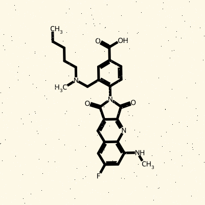 CCCCCN(C)Cc1cc(C(=O)O)ccc1N1C(=O)c2cc3cc(F)cc(NC)c3nc2C1=O